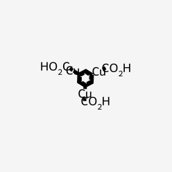 O=[C](O)[Cu][c]1c[c]([Cu][C](=O)O)c[c]([Cu][C](=O)O)c1